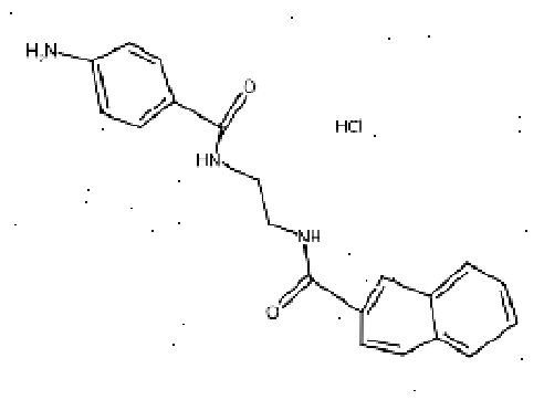 Cl.Nc1ccc(C(=O)NCCNC(=O)c2ccc3ccccc3c2)cc1